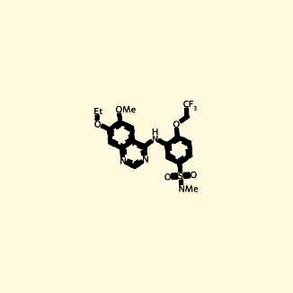 CCOc1cc2ncnc(Nc3cc(S(=O)(=O)NC)ccc3OCC(F)(F)F)c2cc1OC